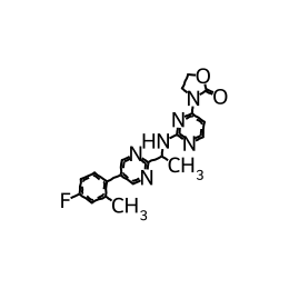 Cc1cc(F)ccc1-c1cnc(C(C)Nc2nccc(N3CCOC3=O)n2)nc1